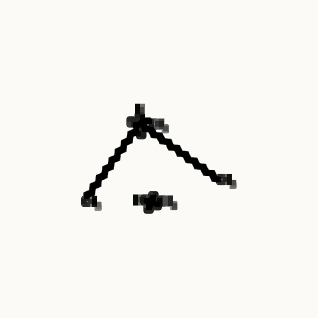 CCCCCCCCCCCCCCCCCC(=O)C(O)(CC)C(=O)CCCCCCCCCCCCCCCCC.COS(=O)(=O)O